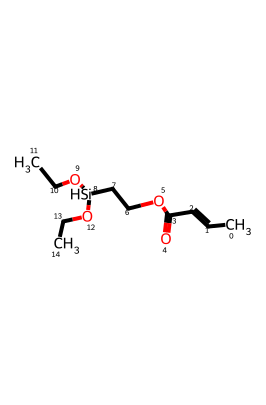 CC=CC(=O)OCC[SiH](OCC)OCC